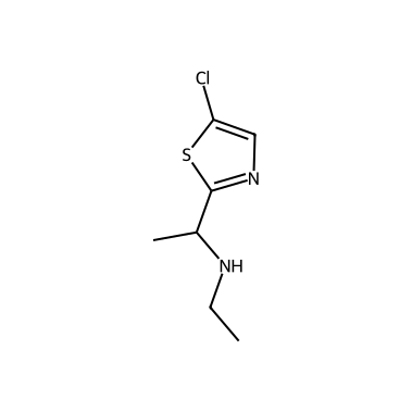 CCNC(C)c1ncc(Cl)s1